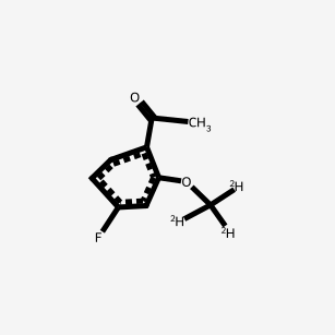 [2H]C([2H])([2H])Oc1cc(F)ccc1C(C)=O